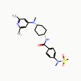 CN(c1ccc(C(=O)N[C@H]2CC[C@@H](N(C)c3cc(C(F)(F)F)nc(C(F)(F)F)c3)CC2)cc1)S(C)(=O)=O